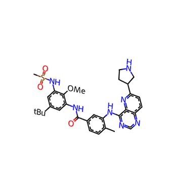 COc1c(NC(=O)c2ccc(C)c(Nc3ncnc4ccc(C5CCNC5)nc34)c2)cc(C(C)(C)C)cc1NS(C)(=O)=O